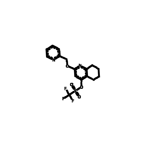 O=S(=O)(Oc1cc(OCc2ccccn2)nc2c1CCCC2)C(F)(F)F